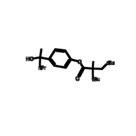 CCCC(C)(O)c1ccc(OC(=O)C(C)(CC(C)(C)C)C(C)(C)C)cc1